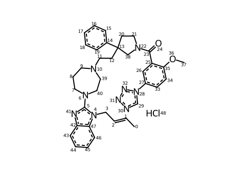 C/C=C/Cn1c(N2CCCN(CCC3(c4ccccc4)CCN(C(=O)c4cc(-n5cnnn5)ccc4OC)C3)CC2)nc2ccccc21.Cl